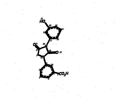 O=C(O)c1cccc(N2CC(=O)N(c3cccc(O)c3)C2=O)c1